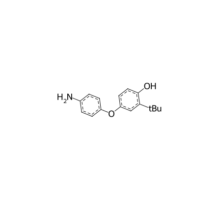 CC(C)(C)c1cc(Oc2ccc(N)cc2)ccc1O